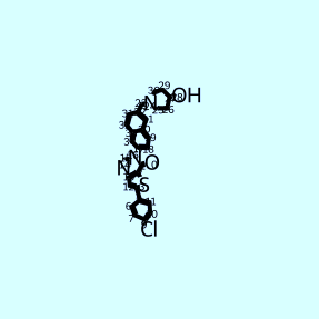 O=c1c2sc(-c3ccc(Cl)cc3)cc2ncn1-c1ccc2cc(CN3CCC(O)CC3)ccc2c1